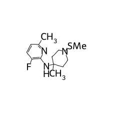 CSN1CCC(C)(Nc2nc(C)ccc2F)CC1